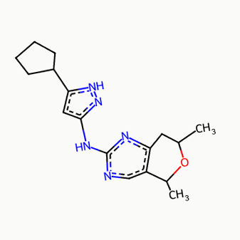 CC1Cc2nc(Nc3cc(C4CCCC4)[nH]n3)ncc2C(C)O1